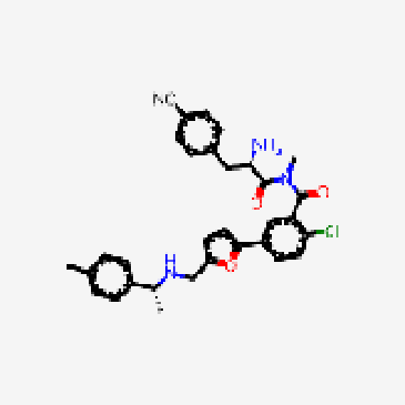 Cc1ccc([C@@H](C)NCc2ccc(-c3ccc(Cl)c(C(=O)N(C)C(=O)[C@H](N)Cc4ccc(C#N)cc4)c3)o2)cc1